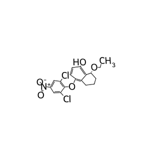 CCO[C@@H]1CCCc2c(Oc3c(Cl)cc([N+](=O)[O-])cc3Cl)ccc(O)c21